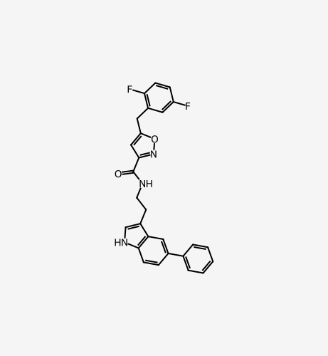 O=C(NCCc1c[nH]c2ccc(-c3ccccc3)cc12)c1cc(Cc2cc(F)ccc2F)on1